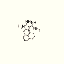 C1=Cc2cccc3cccc(c23)C1.N=C(N)NC(=N)N